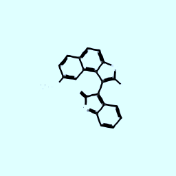 COc1ccc2ccc3oc(C)c(C4=c5ccccc5=NC4=O)c3c2c1